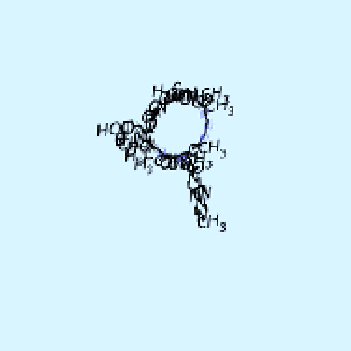 CO[C@H]1C[C@@H]2CC[C@@H](C)[C@@](O)(O2)C(=O)C(=O)N2CCCC[C@H]2C(=O)O[C@H]([C@H](N)C[C@@H]2CC[C@@H](O)[C@H](OC)C2)C[C@@H](O)[C@H](C)/C=C(\C)[C@@H](O)[C@@H](O)/C(=N/OCC(=O)N2CCc3nc(N4CCN(C)CC4)ncc3C2)[C@H](C)C[C@H](C)/C=C/C=C/C=C/1C